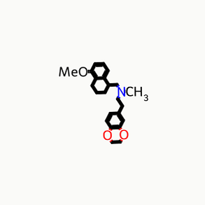 COc1cccc2c1CCCC2CN(C)CCc1ccc2c(c1)OCCO2